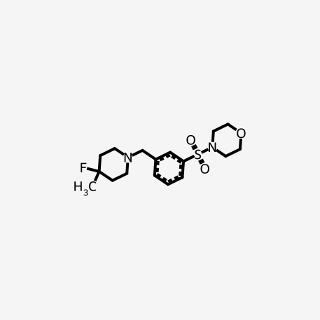 CC1(F)CCN(Cc2cccc(S(=O)(=O)N3CCOCC3)c2)CC1